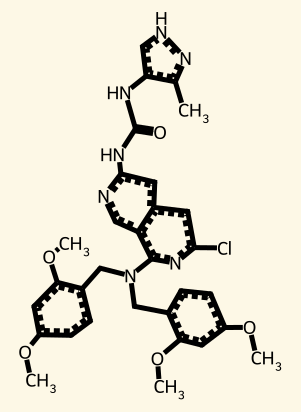 COc1ccc(CN(Cc2ccc(OC)cc2OC)c2nc(Cl)cc3cc(NC(=O)Nc4c[nH]nc4C)ncc23)c(OC)c1